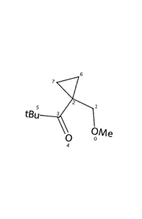 COCC1(C(=O)C(C)(C)C)CC1